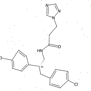 O=C(CCn1cncn1)NC[C@H](Cc1ccc(Cl)cc1)c1ccc(Cl)cc1